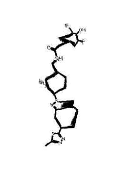 Cc1nnc(-c2ccc3cn(C4CCC(CNC(=O)c5cc(F)c(O)c(F)c5)CC4)nc3c2)s1.N